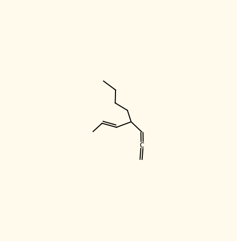 C=C=CC(C=CC)CCCC